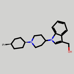 CC(C)[C@H]1CC[C@@H](N2CCC(n3cc(CO)c4ccccc43)CC2)CC1